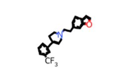 FC(F)(F)c1cccc(C2=CCN(CCc3ccc4ccoc4c3)CC2)c1